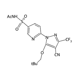 CC(=O)NS(=O)(=O)c1ccc(-n2nc(C(F)(F)F)c(C#N)c2OCC(C)(C)C)nc1